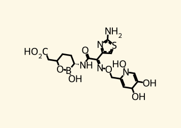 Nc1nc(/C(=N\OCC2=CC(O)C(O)=CN2O)C(=O)N[C@H]2CCC(CC(=O)O)OB2O)cs1